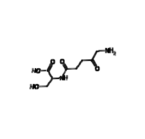 NCC(=O)CCC(=O)NC(CO)C(=O)O